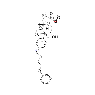 Cc1cccc(OCCO/N=C2\C=C[C@@]3(C)C(=C2)CC[C@H]2[C@@H]4C[C@H](C)[C@@]5(OCOC56COCO6)[C@@]4(C)C[C@H](O)[C@@]23Cl)c1